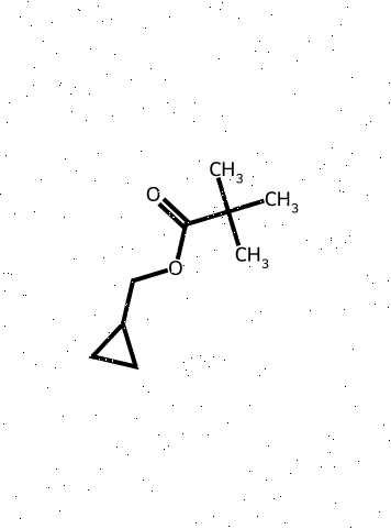 CC(C)(C)C(=O)OCC1CC1